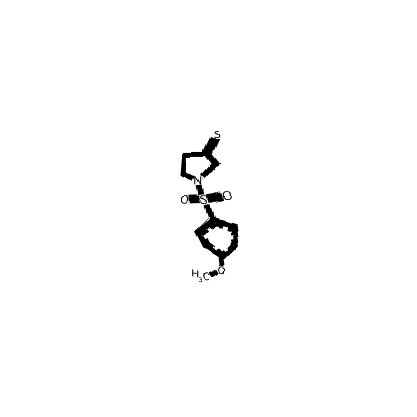 COc1ccc(S(=O)(=O)N2CCC(=S)C2)cc1